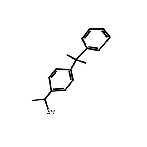 CC(S)c1ccc(C(C)(C)c2ccccc2)cc1